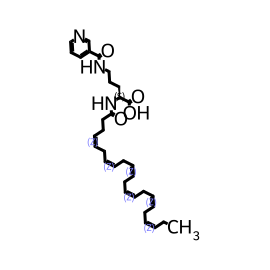 CC/C=C\C/C=C\C/C=C\C/C=C\C/C=C\C/C=C\CCC(=O)N[C@@H](CCCNC(=O)c1cccnc1)C(=O)O